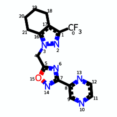 FC(F)(F)c1nn(Cc2nc(-c3cnccn3)no2)c2c1CCCC2